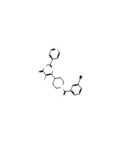 N#Cc1cccc(C(=O)N2CCC(c3nc(-c4ccncc4)[nH]c(=O)c3Cl)CC2)c1